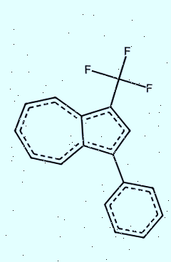 FC(F)(F)c1cc(-c2ccccc2)c2cccccc1-2